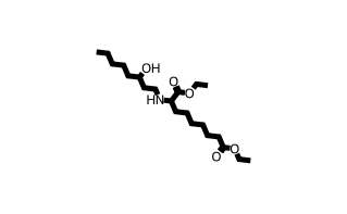 CCCCCC(O)CCNC(CCCCCCC(=O)OCC)C(=O)OCC